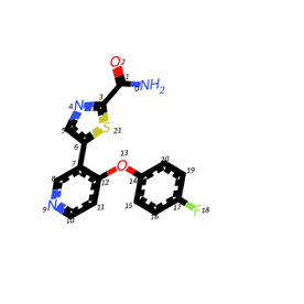 NC(=O)c1ncc(-c2cnccc2Oc2ccc(F)cc2)s1